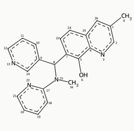 Cc1cnc2c(O)c(C(c3cccnc3)N(C)c3ccccn3)ccc2c1